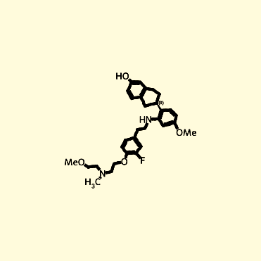 COCCN(C)CCOc1ccc(CCNc2cc(OC)ccc2[C@@H]2CCc3cc(O)ccc3C2)cc1F